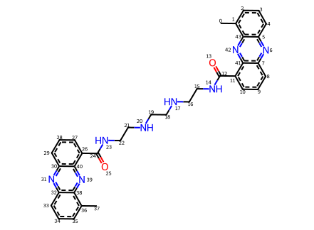 Cc1cccc2nc3cccc(C(=O)NCCNCCNCCNC(=O)c4cccc5nc6cccc(C)c6nc45)c3nc12